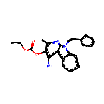 CCOC(=O)Oc1c(C)nc2c(c1N)c1ccccc1n2Cc1ccccc1